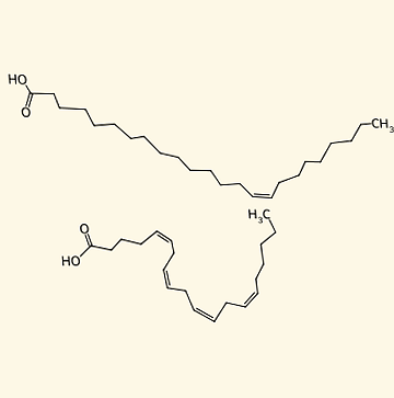 CCCCC/C=C\C/C=C\C/C=C\C/C=C\CCCC(=O)O.CCCCCCCC/C=C\CCCCCCCCCCCCCC(=O)O